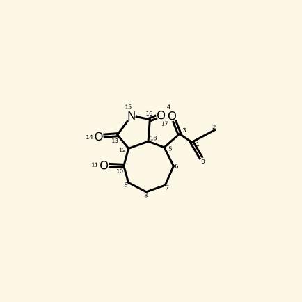 C=C(C)C(=O)C1CCCCC(=O)C2C(=O)[N]C(=O)C12